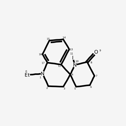 CCN1CCC2(CCCC(=O)N2I)c2ccccc21